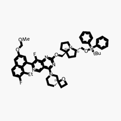 CCc1c(F)ccc2cc(OCOC)cc(-c3ncc4c(N5CCC[C@]6(CCO6)C5)nc(OC[C@@]56CCCN5[C@H](CO[Si](c5ccccc5)(c5ccccc5)C(C)(C)C)CC6)nc4c3F)c12